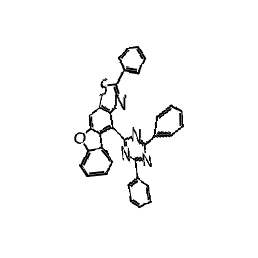 c1ccc(-c2nc(-c3ccccc3)nc(-c3c4nc(-c5ccccc5)sc4cc4oc5ccccc5c34)n2)cc1